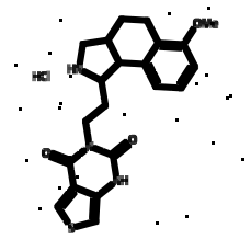 COc1cccc2c1CCC1CNC(CCn3c(=O)[nH]c4cscc4c3=O)C21.Cl